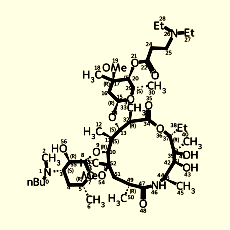 CCCCN(C)[C@H]1C[C@@H](C)O[C@@H](O[C@@H]2[C@@H](C)[C@H](O[C@H]3C[C@@](C)(OC)[C@@H](OC(=O)CCN(CC)CC)[C@H](C)O3)[C@@H](C)C(=O)O[C@H](CC)[C@@](C)(O)[C@@H](O)[C@@H](C)NC(=O)[C@H](C)C[C@@]2(C)OC)[C@@H]1O